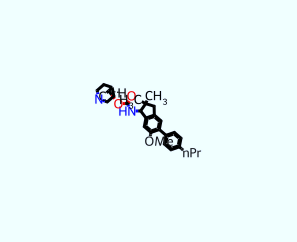 CCCc1ccc(-c2cc3c(cc2OC)C(NC(=O)O[C@H]2CN4CCC2CC4)C(C)(C)C3)cc1